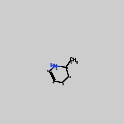 CC1CCC=CN1